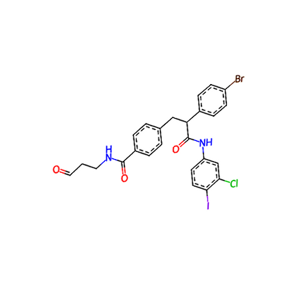 O=CCCNC(=O)c1ccc(CC(C(=O)Nc2ccc(I)c(Cl)c2)c2ccc(Br)cc2)cc1